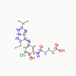 CCC1=Nn2nc(C(C)C)nc2C1=Nc1cc(Cl)c(O)c(NC(=O)CCCC(=O)O)c1